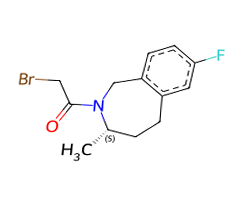 C[C@H]1CCc2cc(F)ccc2CN1C(=O)CBr